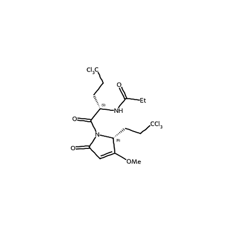 CCC(=O)N[C@@H](CCC(Cl)(Cl)Cl)C(=O)N1C(=O)C=C(OC)[C@H]1CCC(Cl)(Cl)Cl